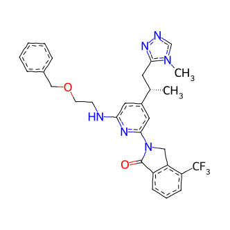 C[C@@H](Cc1nncn1C)c1cc(NCCOCc2ccccc2)nc(N2Cc3c(cccc3C(F)(F)F)C2=O)c1